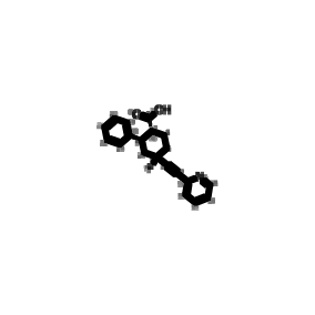 O=C(O)[C@@H]1CCC(F)(C#Cc2ccccn2)C[C@H]1c1ccccc1